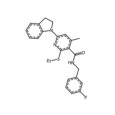 CCSc1nc(N2CCc3ccccc32)cc(C)c1C(=O)NCc1cccc(F)c1